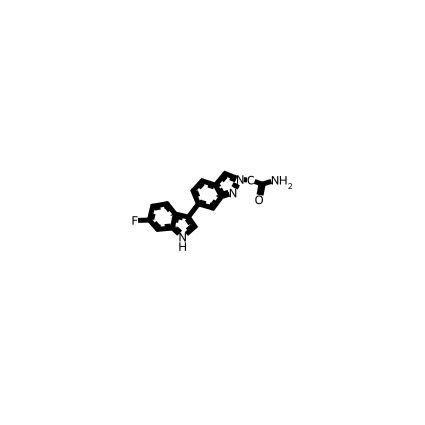 NC(=O)Cn1cc2ccc(-c3c[nH]c4cc(F)ccc34)cc2n1